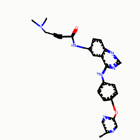 Cc1cnc(Oc2ccc(Nc3ncnc4ccc(NC(=O)C#CCN(C)C)cc34)cc2)cn1